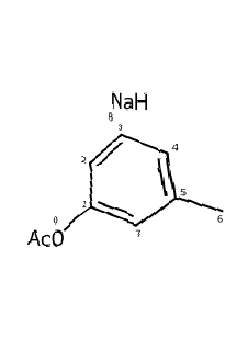 CC(=O)Oc1cccc(C)c1.[NaH]